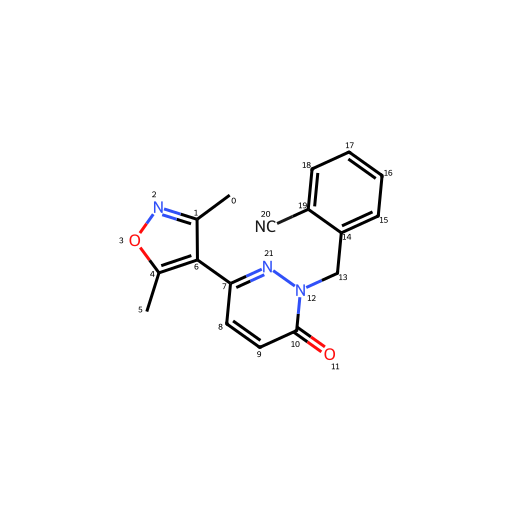 Cc1noc(C)c1-c1ccc(=O)n(Cc2ccccc2C#N)n1